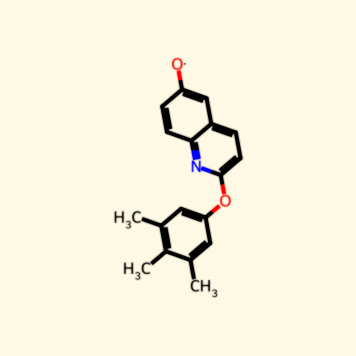 Cc1cc(Oc2ccc3cc([O])ccc3n2)cc(C)c1C